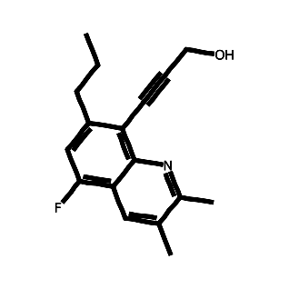 CCCc1cc(F)c2cc(C)c(C)nc2c1C#CCO